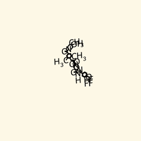 Cc1cc(C(=O)N2CCC(C)(O)CC2)cc(C)c1C=CS(=O)(=O)N1CCC2(CC1)N=C(c1ccc(OC(F)(F)C(F)F)cc1)NC2=O